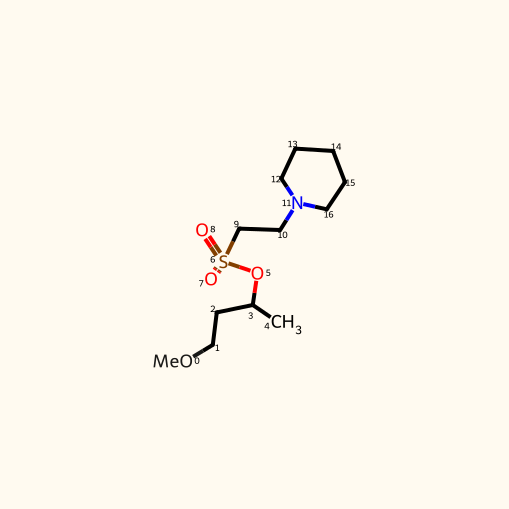 COCCC(C)OS(=O)(=O)CCN1CCCCC1